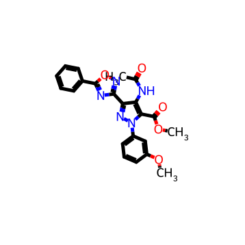 COC(=O)c1c(NC(C)=O)c(-c2noc(-c3ccccc3)n2)nn1-c1cccc(OC)c1